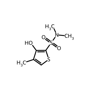 Cc1csc(S(=O)(=O)N(C)C)c1O